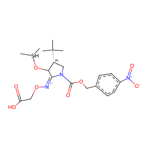 C[SiH](C)OC1/C(=N\OCC(=O)O)N(C(=O)OCc2ccc([N+](=O)[O-])cc2)C[C@H]1C(C)(C)C